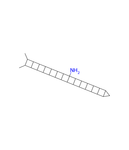 CC1C(C)C2C1C1C2C2C1C1C2C2C1C1C2C2(N)C3C4C5C6C7C8CC8C7C6C5C4C3C12